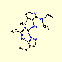 CCCC(C)c1cnn2c(Nc3c(C)ccnc3N(C)C)nc(C)nc12